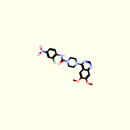 COc1cc2ncnc(N3CCN(C(=O)Nc4ccc([N+](=O)[O-])cc4Cl)CC3)c2cc1OC